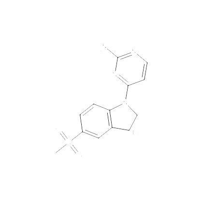 CS(=O)(=O)c1ccc2c(c1)CCN2c1ccnc(N)n1.Cl